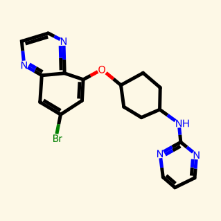 Brc1cc(OC2CCC(Nc3ncccn3)CC2)c2nccnc2c1